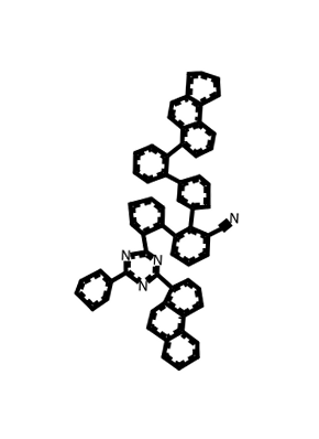 N#Cc1cccc(-c2ccccc2-c2nc(-c3ccccc3)nc(-c3cccc4c3ccc3ccccc34)n2)c1-c1cccc(-c2ccccc2-c2cccc3c2ccc2ccccc23)c1